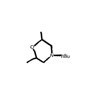 CCCCN1CC(C)OC(C)C1